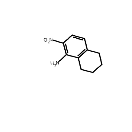 Nc1c([N+](=O)[O-])ccc2c1CCCC2